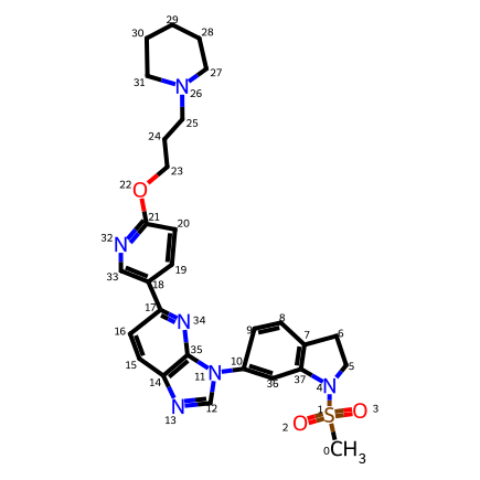 CS(=O)(=O)N1CCc2ccc(-n3cnc4ccc(-c5ccc(OCCCN6CCCCC6)nc5)nc43)cc21